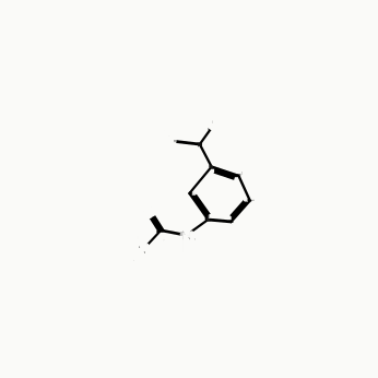 CC(O)c1cccc(NC(N)=O)c1